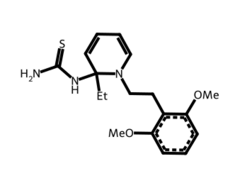 CCC1(NC(N)=S)C=CC=CN1CCc1c(OC)cccc1OC